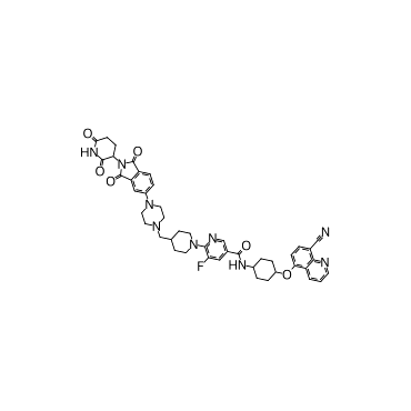 N#Cc1ccc(OC2CCC(NC(=O)c3cnc(N4CCC(CN5CCN(c6ccc7c(c6)C(=O)N(C6CCC(=O)NC6=O)C7=O)CC5)CC4)c(F)c3)CC2)c2cccnc12